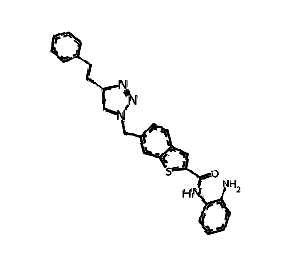 Nc1ccccc1NC(=O)c1cc2ccc(CN3C[C@@H](CCc4ccccc4)N=N3)cc2s1